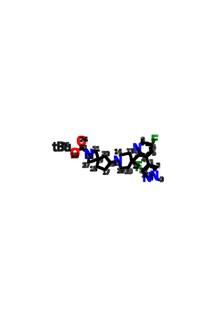 Cn1cc(-c2cc(F)cnc2C2(F)CCN(C3CCC4(C3)CN(C(=O)OC(C)(C)C)C4)CC2)cn1